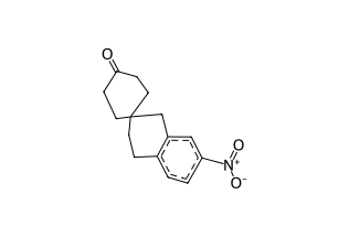 O=C1CCC2(CC1)CCc1ccc([N+](=O)[O-])cc1C2